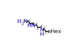 [CH2]CCCCCCCNCCCNCCCN